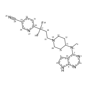 CN(c1ncnc2[nH]ccc12)C1CCN(CCC(F)(F)c2ccc(C#N)cn2)CC1